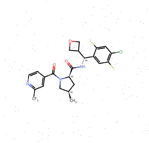 C[C@@H]1C[C@H](C(=O)N[C@@H](c2cc(F)c(Cl)cc2F)C2COC2)N(C(=O)c2ccnc(C(F)(F)F)c2)C1